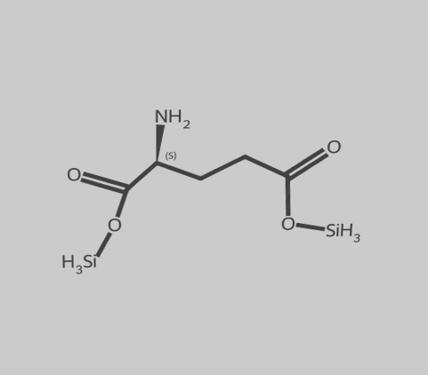 N[C@@H](CCC(=O)O[SiH3])C(=O)O[SiH3]